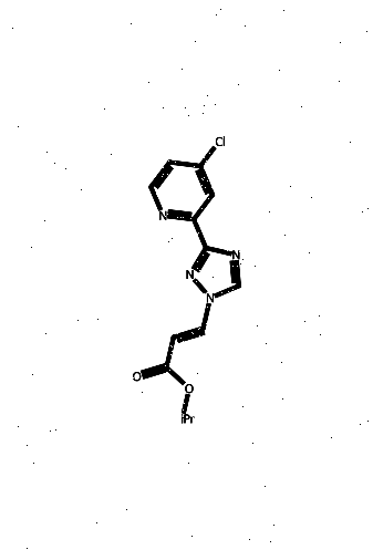 CC(C)OC(=O)C=Cn1cnc(-c2cc(Cl)ccn2)n1